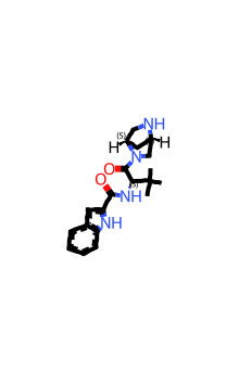 CC(C)(C)[C@H](NC(=O)c1cc2ccccc2[nH]1)C(=O)N1C[C@@H]2C[C@H]1CN2